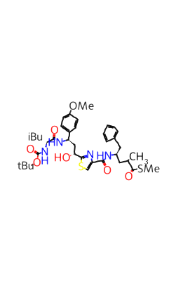 CC[C@H](C)[C@H](NC(=O)OC(C)(C)C)C(=O)N[C@H](C[C@@H](O)c1nc(C(=O)N[C@@H](Cc2ccccc2)C[C@H](C)C(=O)SC)cs1)c1ccc(OC)cc1